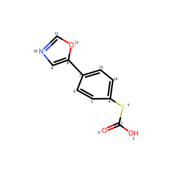 O=C(O)Sc1ccc(-c2cnco2)cc1